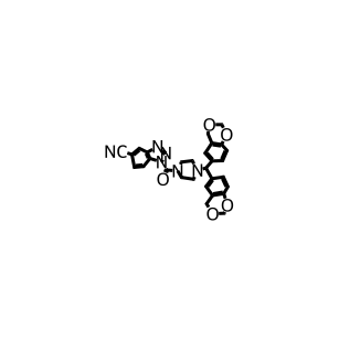 N#Cc1ccc2c(c1)nnn2C(=O)N1CCN(C(c2ccc3c(c2)COCO3)c2ccc3c(c2)COCO3)CC1